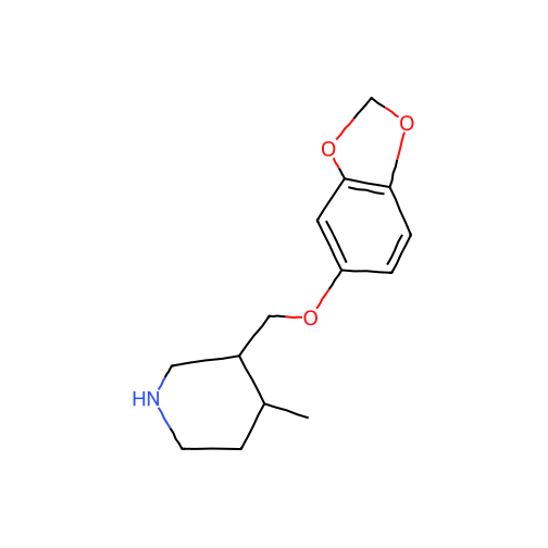 CC1CCNCC1COc1ccc2c(c1)OCO2